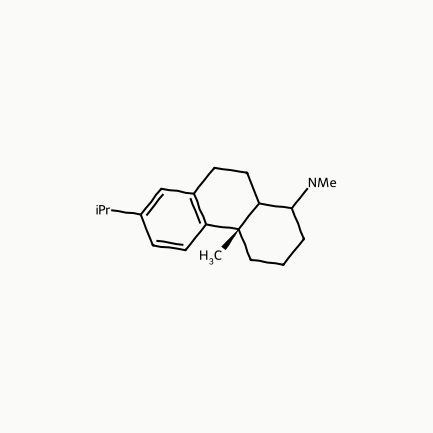 CNC1CCC[C@]2(C)c3ccc(C(C)C)cc3CCC12